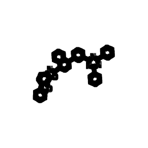 c1ccc(-c2nc(-c3ccccc3)nc(-c3cccc(-c4ccc(-c5nc6ccc7c8ccccc8oc7c6o5)c5ccccc45)c3)n2)cc1